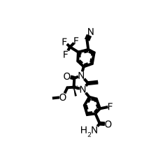 C=C1N(c2ccc(C#N)c(C(F)(F)F)c2)C(=O)[C@@](C)(COC)N1c1ccc(C(N)=O)c(F)c1